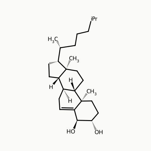 CC(C)CCC[C@@H](C)[C@H]1CC[C@H]2[C@@H]3CC=C4[C@H](O)[C@@H](O)CC[C@]4(C)[C@H]3CC[C@]12C